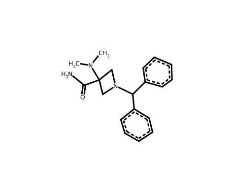 CN(C)C1(C(N)=O)CN(C(c2ccccc2)c2ccccc2)C1